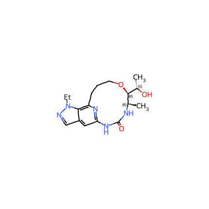 CCn1ncc2cc3nc(c21)CCCO[C@@H]([C@H](C)O)[C@@H](C)NC(=O)N3